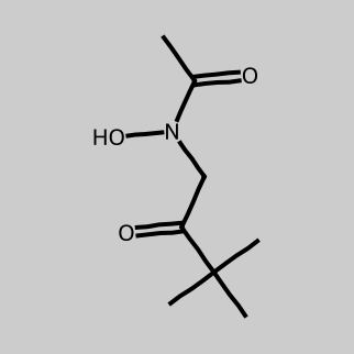 CC(=O)N(O)CC(=O)C(C)(C)C